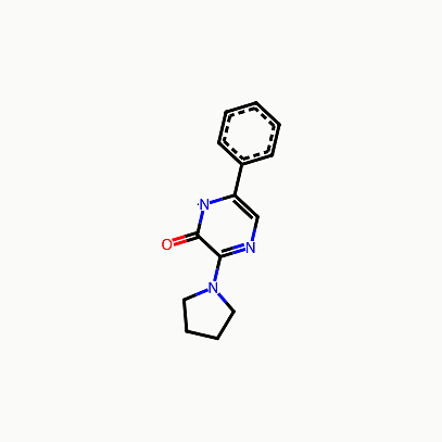 O=C1[N]C(c2ccccc2)=CN=C1N1CCCC1